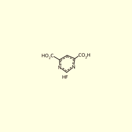 F.O=C(O)c1cc(C(=O)O)ncn1